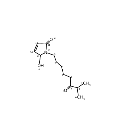 CC(C)C(=O)CCCCCN1C(=O)C=CC1O